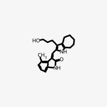 Cc1cccc2c1/C(=C/c1[nH]c3c(c1CCCO)CCCCC3)C(=O)N2